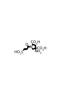 N[C@@]1(C(=O)O)C[C@@H](C(=O)O)N(C(=O)C=CC(=O)O)C1